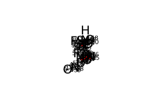 COCC1CCC2(COc3nc(N4CC5CCC(C4)N5C(=O)OC(C)(C)C)c4cc(C(F)(F)F)c(-c5ccc(F)c6sc(NC(=O)OC(C)(C)C)nc56)c(F)c4n3)CCCN12